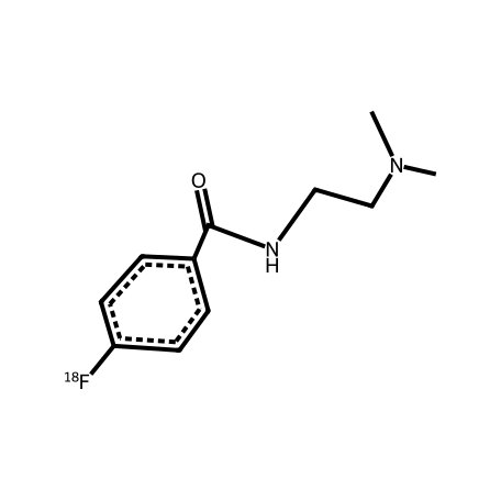 CN(C)CCNC(=O)c1ccc([18F])cc1